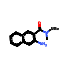 CNN(C)C(=O)c1cc2ccccc2cc1N